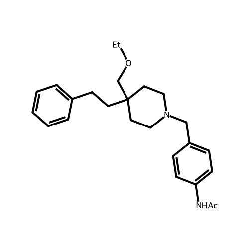 CCOCC1(CCc2ccccc2)CCN(Cc2ccc(NC(C)=O)cc2)CC1